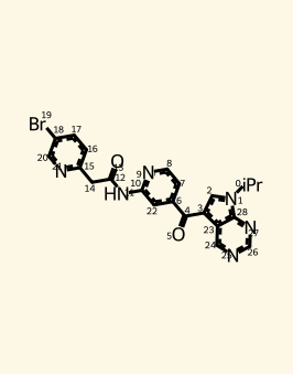 CC(C)n1cc(C(=O)c2ccnc(NC(=O)Cc3ccc(Br)cn3)c2)c2cncnc21